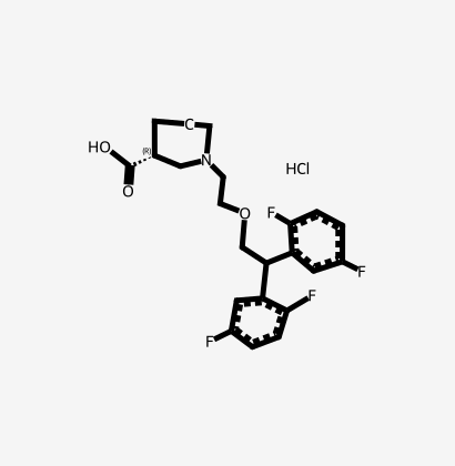 Cl.O=C(O)[C@@H]1CCCN(CCOCC(c2cc(F)ccc2F)c2cc(F)ccc2F)C1